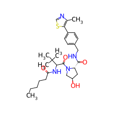 CCCCCC(=O)NC(C(=O)N1C[C@H](O)C[C@H]1C(=O)NCc1ccc(-c2scnc2C)cc1)C(C)(C)C